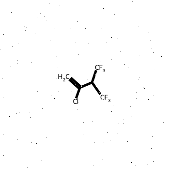 C=C(Cl)C(C(F)(F)F)C(F)(F)F